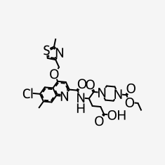 CCOC(=O)N1CCN(C(=O)C(CCC(=O)O)NC(=O)c2cc(OCc3csc(C)n3)c3cc(Cl)c(C)cc3n2)CC1